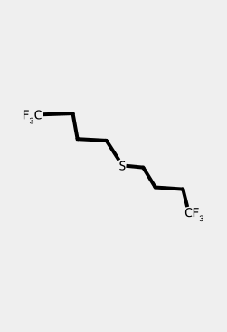 FC(F)(F)CCCSCCCC(F)(F)F